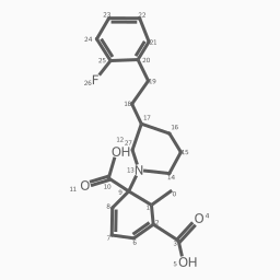 CC1C(C(=O)O)=CC=CC1(C(=O)O)N1CCCC(CCc2ccccc2F)C1